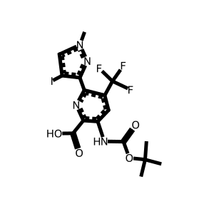 Cn1cc(I)c(-c2nc(C(=O)O)c(NC(=O)OC(C)(C)C)cc2C(F)(F)F)n1